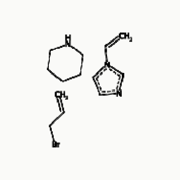 C1CCNCC1.C=CCBr.C=Cn1ccnc1